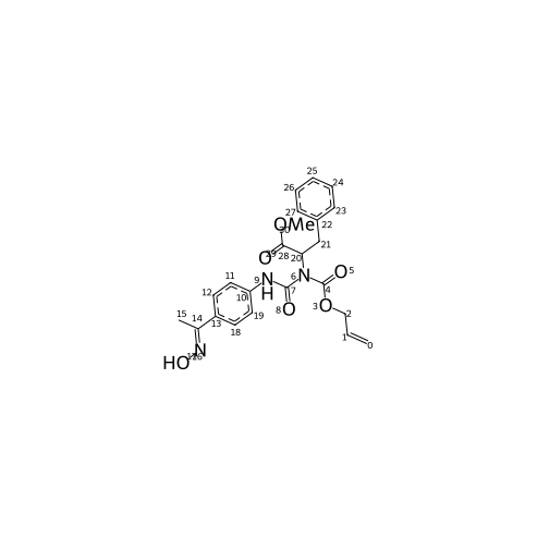 C=CCOC(=O)N(C(=O)Nc1ccc(C(C)=NO)cc1)C(Cc1ccccc1)C(=O)OC